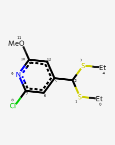 CCSC(SCC)c1cc(Cl)nc(OC)c1